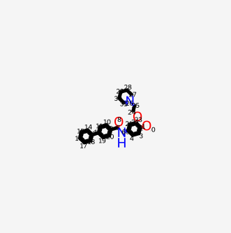 COc1ccc(NC(=O)c2ccc(-c3ccccc3)cc2)cc1OCCN1CCCCC1